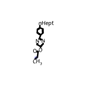 C/C=C/C(=O)Oc1cnc(-c2ccc(CCCCCCC)cc2)nc1